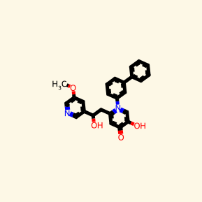 COc1cncc(C(O)Cc2cc(=O)c(O)cn2-c2cccc(-c3ccccc3)c2)c1